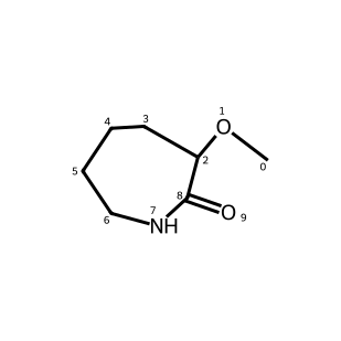 COC1CCCCNC1=O